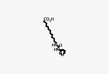 O=C(O)CCCCCCCCCCCCNC(=O)Nc1cccnn1